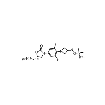 CC(=O)NC[C@H]1CN(c2cc(F)c(N3CC(=NO[Si](C)(C)C(C)(C)C)C3)c(F)c2)C(=O)O1